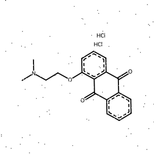 CN(C)CCOc1cccc2c1C(=O)c1ccccc1C2=O.Cl.Cl